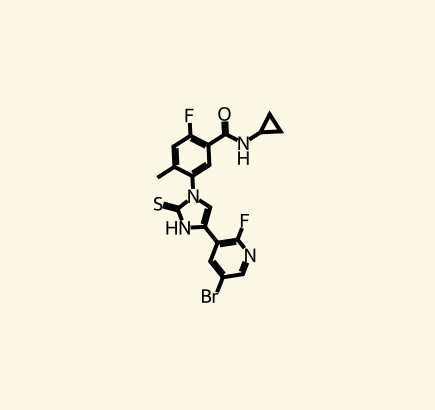 Cc1cc(F)c(C(=O)NC2CC2)cc1-n1cc(-c2cc(Br)cnc2F)[nH]c1=S